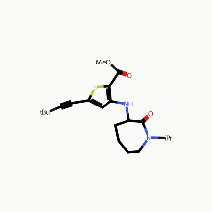 COC(=O)c1sc(C#CC(C)(C)C)cc1NC1CCCCN(C(C)C)C1=O